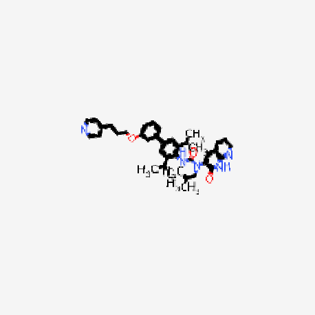 C=C(C)CN(C(=O)Nc1c(C(C)C)cc(-c2cccc(OCCCc3ccncc3)c2)cc1C(C)C)c1cc2cccnc2[nH]c1=O